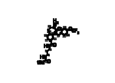 CC(C)(C)C(=O)NCCCNC(=O)c1ccc2c(c1)N(Cc1ccc(OC(F)(F)F)cc1)C(=O)[C@@H](N)CS2